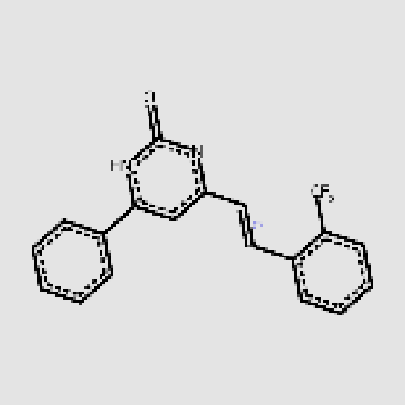 O=c1nc(/C=C/c2ccccc2C(F)(F)F)cc(-c2ccccc2)[nH]1